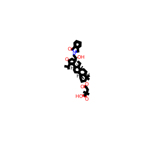 CC(C)C1=C2[C@H]3CC[C@@H]4[C@@]5(C)CC[C@@H](OC(=O)CC(C)(C)C(=O)O)C(C)(C)[C@@H]5CC[C@@]4(C)[C@]3(C)CC[C@@]2([C@@H](O)CN2Cc3ccccc3C2=O)CC1=O